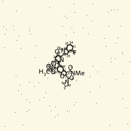 CNC(=O)c1c(C(=O)N2CCC2)oc2cc(N(C)S(C)(=O)=O)c(-c3ccc4c(n3)-c3cc5c(F)cccc5n3CO4)cc12